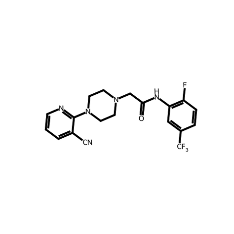 N#Cc1cccnc1N1CCN(CC(=O)Nc2cc(C(F)(F)F)ccc2F)CC1